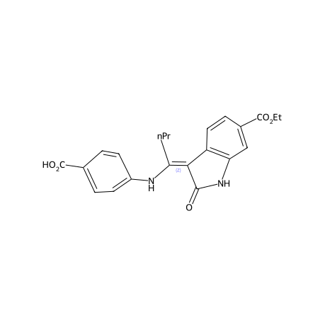 CCC/C(Nc1ccc(C(=O)O)cc1)=C1/C(=O)Nc2cc(C(=O)OCC)ccc21